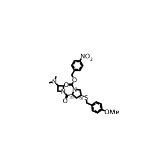 COc1ccc(CS[C@H]2C[C@@H](C(=O)N3CC(N(C)C)C3)N(C(=O)OCc3ccc([N+](=O)[O-])cc3)C2)cc1